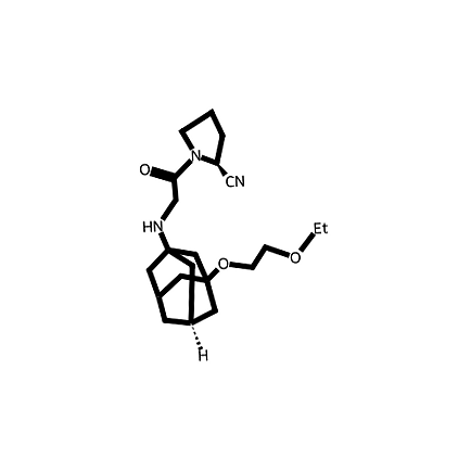 [CH2]COCCOC12CC3C[C@@H](CC(NCC(=O)N4CCC[C@H]4C#N)(C3)C1)C2